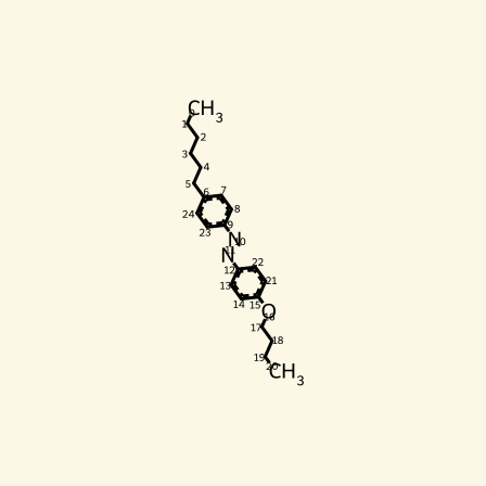 CCCCCCc1ccc(/N=N/c2ccc(OCCCC)cc2)cc1